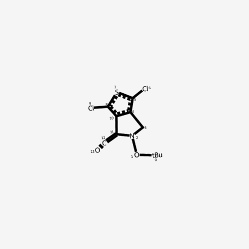 CC(C)(C)ON1Cc2c(Cl)sc(Cl)c2C1=C=O